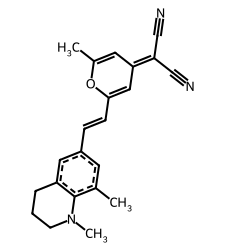 CC1=CC(=C(C#N)C#N)C=C(/C=C/c2cc(C)c3c(c2)CCCN3C)O1